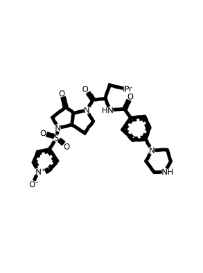 CC(C)CC(NC(=O)c1ccc(N2CCNCC2)cc1)C(=O)N1CCC2C1C(=O)CN2S(=O)(=O)c1cc[n+]([O-])cc1